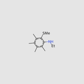 CCNc1c(C)c(C)c(C)c(C)c1SC